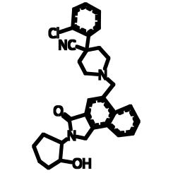 N#CC1(c2ccccc2Cl)CCN(Cc2cc3c(c4ccccc24)CN(C2CCCCC2O)C3=O)CC1